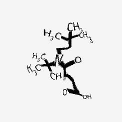 CC(C)(C)CCN(C(=O)C=CC(=O)O)C(C)(C)C